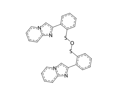 c1ccc(-c2cn3ccccc3n2)c(SOSc2ccccc2-c2cn3ccccc3n2)c1